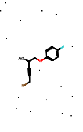 CC(=O)OC(C#CCBr)COc1ccc(F)cc1